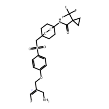 NC/C(=C\F)COc1ccc(S(=O)(=O)CC23CCC(NC(=O)C4(C(F)(F)F)CC4)(CC2)CC3)cc1